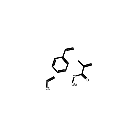 C=C(C)C(=O)OC(C)(C)C.C=CC#N.C=Cc1ccccc1